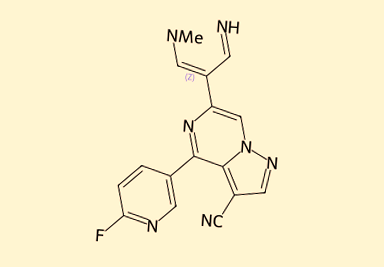 CN/C=C(\C=N)c1cn2ncc(C#N)c2c(-c2ccc(F)nc2)n1